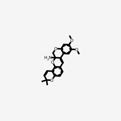 COc1cc2c(cc1OC)C1=Cc3ccc4c(c3OC1(N)CO2)C=CC(C)(C)O4